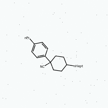 CCCCCCCC1CCC(C#N)(c2ccc(CCC)cc2)CC1